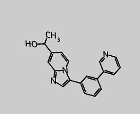 CC(O)c1ccn2c(-c3cccc(-c4cccnc4)c3)cnc2c1